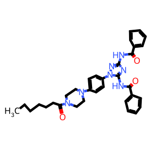 CCCCCCC(=O)N1CCN(c2ccc(-n3nc(NC(=O)c4ccccc4)nc3NC(=O)c3ccccc3)cc2)CC1